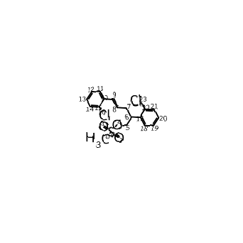 CS(=O)(=O)OCC(CC=Cc1ccccc1Cl)c1ccccc1Cl